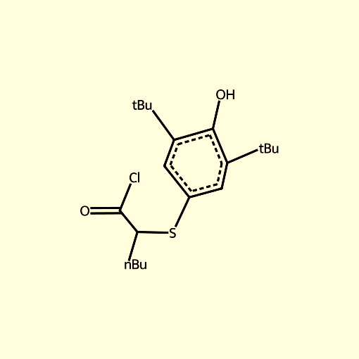 CCCCC(Sc1cc(C(C)(C)C)c(O)c(C(C)(C)C)c1)C(=O)Cl